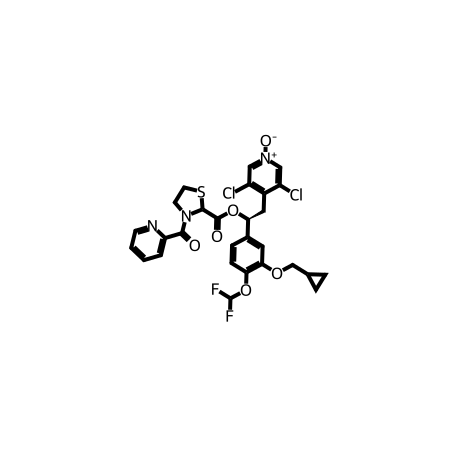 O=C(O[C@@H](Cc1c(Cl)c[n+]([O-])cc1Cl)c1ccc(OC(F)F)c(OCC2CC2)c1)C1SCCN1C(=O)c1ccccn1